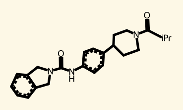 CC(C)C(=O)N1CCC(c2ccc(NC(=O)N3Cc4ccccc4C3)cc2)CC1